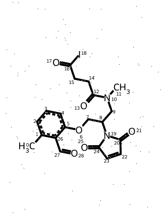 Cc1cccc(OCC(CN(C)C(=O)CCC(=O)I)N2C(=O)C=CC2=O)c1C=O